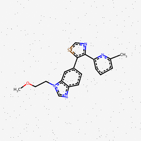 COCCn1cnc2ccc(-c3scnc3-c3cccc(C)n3)cc21